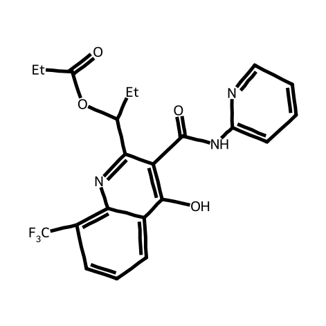 CCC(=O)OC(CC)c1nc2c(C(F)(F)F)cccc2c(O)c1C(=O)Nc1ccccn1